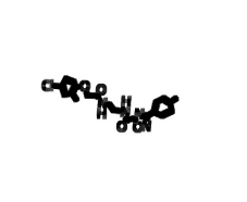 Cc1ccc(-c2noc(C(=O)NCCNC(=O)COc3ccc(Cl)cc3C)n2)cc1